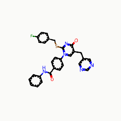 O=C(Nc1ccccc1)c1ccc(-n2cc(Cc3cncnc3)c(=O)nc2SCc2ccc(F)cc2)cc1